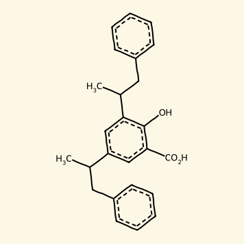 CC(Cc1ccccc1)c1cc(C(=O)O)c(O)c(C(C)Cc2ccccc2)c1